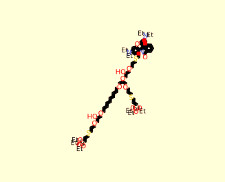 CCO[Si](CCCSCCCOCC(O)COCCCCCCCCCCOCC(COCCCSCCC[Si](OCC)(OCC)OCC)OCC(O)COCCCSCCN1C(=O)c2ccccc2C12c1ccc(N(CC)CC)cc1Oc1cc(N(CC)CC)ccc12)(OCC)OCC